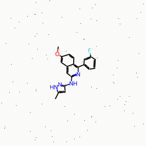 COc1ccc2c(-c3cccc(F)c3)nc(Nc3cc(C)[nH]n3)cc2c1